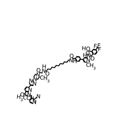 Cc1cc(-c2ccc(C(=O)NCCCCCCCCCCCC(=O)NCC(=O)N3CCN(c4ncc(-c5ccc6c(n5)N(Cc5cccnc5C#N)C(C)(C)C6=O)cn4)C[C@H]3C)cc2)cc(NC(=O)c2ccc(C(F)(F)F)cc2C(=O)O)n1